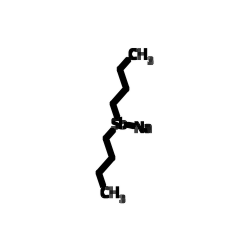 CCC[CH2][Sb]([Na])[CH2]CCC